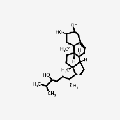 CC(C)C(O)CC[C@@H](C)[C@H]1CC[C@H]2[C@@H]3CC=C4CC(O)[C@H](O)C[C@]4(C)[C@H]3CC[C@]12C